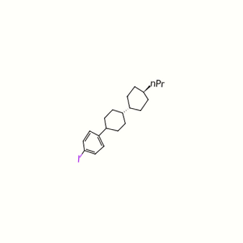 CCC[C@H]1CC[C@H](C2CCC(c3ccc(I)cc3)CC2)CC1